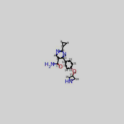 NC(=O)c1cnc(C2CC2)nc1-c1ccc(OC2CNC2)cc1